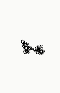 O=c1ccc2c(OCCCCOc3ccccc3[N+](=O)[O-])c3ccoc3cc2o1